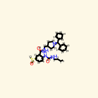 CCCCNC(=O)Nc1ccc([S+](C)[O-])cc1C(=O)NCC1CCN(C(c2ccccc2)c2ccccc2)CC1